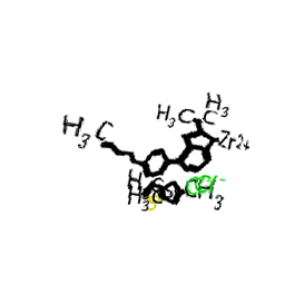 CC1=C2c3sccc3C1[Si]2(C)C.CCCCCCc1ccc(-c2cccc3c2C=C(C(C)C)[CH]3[Zr+2])cc1.[Cl-].[Cl-]